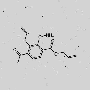 C=CCOC(=O)c1ccc(C(C)=O)c(CC=C)c1ON